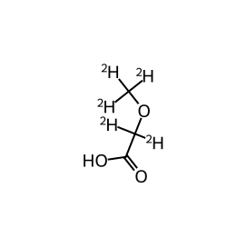 [2H]C([2H])([2H])OC([2H])([2H])C(=O)O